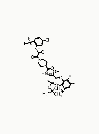 CC(C)(C)OC(=O)C[C@H](NC(=O)C1CCN(C(=O)C(=O)Nc2cc(Cl)ccc2C(F)(F)F)CC1)C(O)COc1c(F)c(F)cc(F)c1F